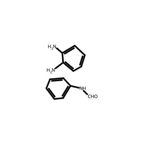 Nc1ccccc1N.O=CNc1ccccc1